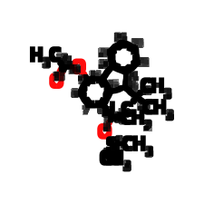 C=C(O[SiH](C)C)c1ccc(OC(C)=O)c2c1C(C(C)(C)C)c1ccccc1-2